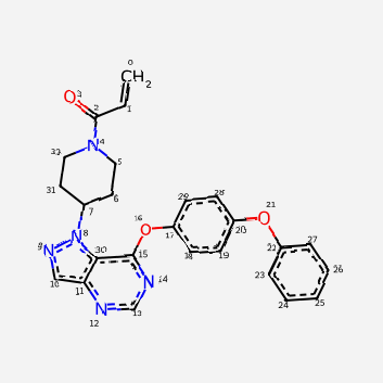 C=CC(=O)N1CCC(n2ncc3ncnc(Oc4ccc(Oc5ccccc5)cc4)c32)CC1